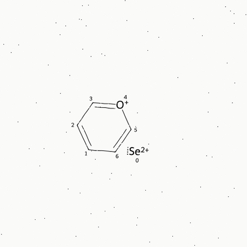 [Se+2].c1cc[o+]cc1